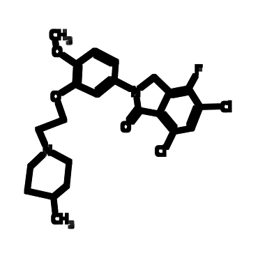 COc1ccc(N2Cc3c(F)c(Cl)cc(Cl)c3C2=O)cc1OCCN1CCC(C)CC1